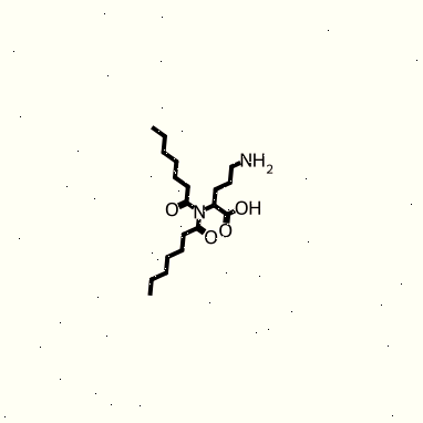 CCCCCCC(=O)N(C(=O)CCCCCC)C(CCCN)C(=O)O